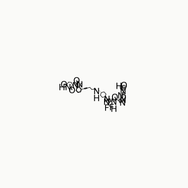 Cn1c(=O)n(C2CCC(=O)NC2=O)c2cccc(C#CCCCNC[C@H]3CC[C@H](n4cc(NC(=O)c5cnn6ccc(N7C[C@H]8CC7CO8)nc56)c(C(F)F)n4)CC3)c21